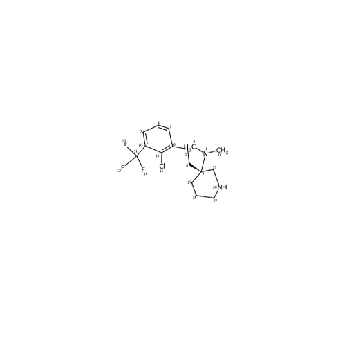 CN(C)[C@@]1(CCc2cccc(C(F)(F)F)c2Cl)CCCNC1